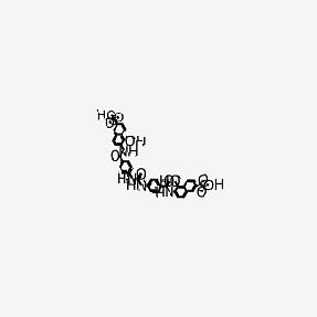 O=C(Nc1ccc(C(=O)Nc2ccc3cc(S(=O)(=O)O)ccc3c2O)cc1)Nc1ccc(C(=O)Nc2ccc3cc(S(=O)(=O)O)ccc3c2O)cc1